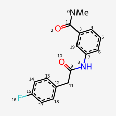 CNC(=O)c1cccc(NC(=O)Cc2ccc(F)cc2)c1